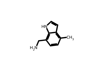 Cc1ccc(CN)c2[nH]ccc12